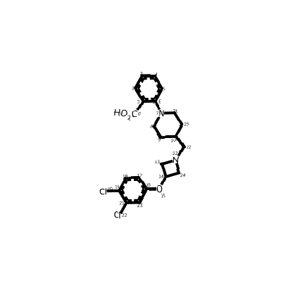 O=C(O)c1ccccc1N1CCC(CN2CC(Oc3ccc(Cl)c(Cl)c3)C2)CC1